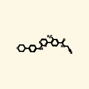 Cc1cc(C(=O)NCC#N)ccc1-c1ccnc(Nc2ccc(N3CCOCC3)cc2)n1